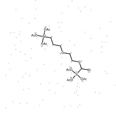 CCC(OCCOCCC[Si](OC(C)=O)(OC(C)=O)OC(C)=O)[Si](OC(C)=O)(OC(C)=O)OC(C)=O